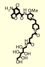 CO[C@H]1CN(CC2CCN(C(=O)CCCC(=O)NC[C@H](O)[C@@H](O)[C@H](O)[C@H](O)CO)CC2)CC[C@H]1NC(=O)c1cc(Cl)c(N)c2c1OCC2